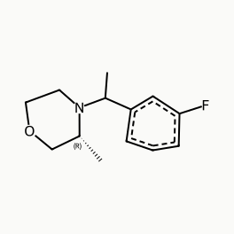 CC(c1cccc(F)c1)N1CCOC[C@H]1C